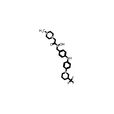 CN1CCN(CC(=O)N(O)Cc2ccc(Nc3ccc(N4CCCC(C(F)(F)F)C4)cc3)cc2)CC1